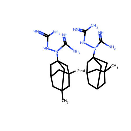 CC12CC3CC(C1)CC(N(NC(=N)N)C(=N)N)(C3)C2.CCCCCC12CC3CC(C)(C1)CC(N(NC(=N)N)C(=N)N)(C3)C2